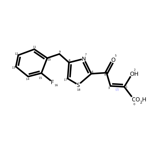 O=C(O)/C(O)=C/C(=O)c1nc(Cc2ccccc2F)cs1